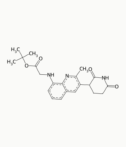 Cc1nc2c(NCC(=O)OC(C)(C)C)cccc2cc1C1CCC(=O)NC1=O